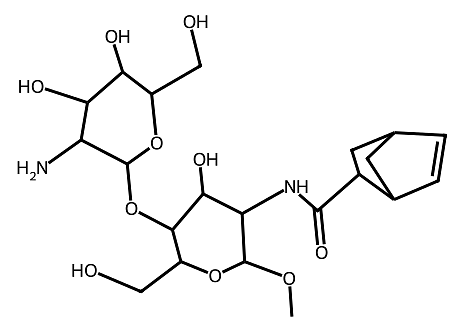 COC1OC(CO)C(OC2OC(CO)C(O)C(O)C2N)C(O)C1NC(=O)C1CC2C=CC1C2